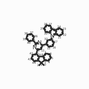 CC1(C)c2ccccc2-c2c(-c3cc(-c4cccc(-n5c6ccccc6c6ccccc65)c4)nc(-c4ccccc4)n3)cccc21